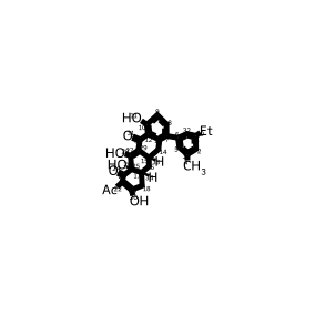 CCc1cc(C)cc(-c2ccc(O)c3c2C[C@@H]2C[C@@H]4CC(O)=C(C(C)=O)C(=O)[C@]4(O)C(O)=C2C3=O)c1